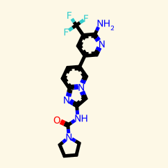 Nc1ncc(-c2ccc3nc(NC(=O)N4CCCC4)cn3c2)cc1C(F)(F)F